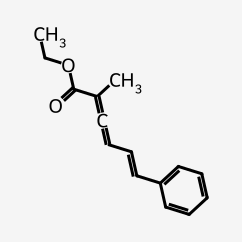 CCOC(=O)C(C)=C=C/C=C/c1ccccc1